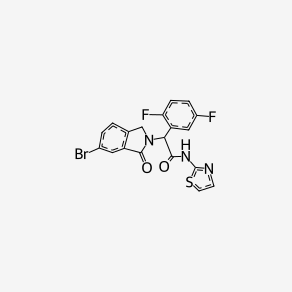 O=C(Nc1nccs1)C(c1cc(F)ccc1F)N1Cc2ccc(Br)cc2C1=O